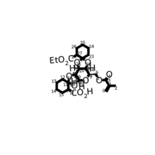 C=C(C)C(=O)OC[C@H]1O[C@H]2OC3(CCCCC3C(=O)O)O[C@@H]2[C@H]2OC3(CCCCC3C(=O)OCC)O[C@H]21